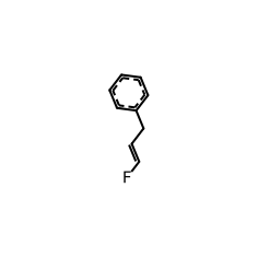 FC=CCc1ccccc1